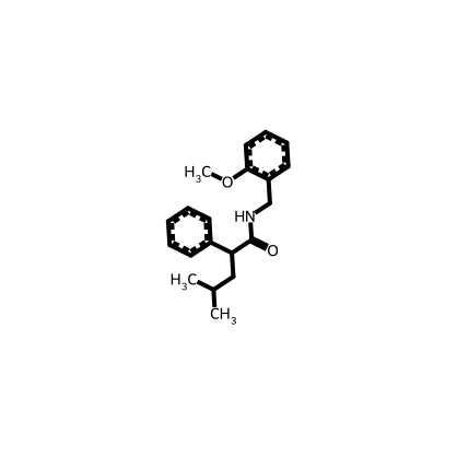 COc1ccccc1CNC(=O)C(CC(C)C)c1ccccc1